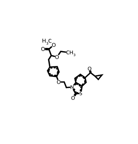 CCOC(Cc1ccc(OCCn2c(=O)sc3cc(C(=O)C4CC4)ccc32)cc1)C(=O)OC